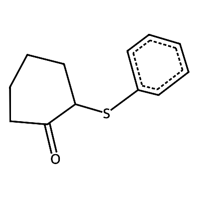 O=C1CCCCC1Sc1ccccc1